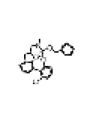 CN(CC1Cc2cccc(-c3c(Cl)cccc3Cl)c2O1)C(=O)OCc1ccccc1